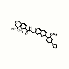 COc1cc(N2CCC2)ccc1-c1ccc2cnc(CNC(=O)c3ccc4c(c3)[C@](C)(C#N)COC4)cc2n1